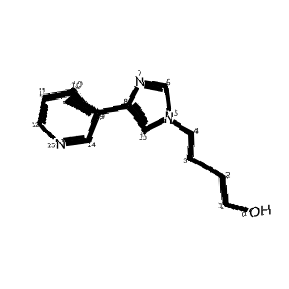 OCCCCn1cnc(-c2cccnc2)c1